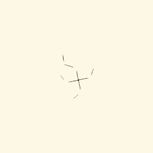 CCOC(OCC)(OCC)O[SiH2]CC